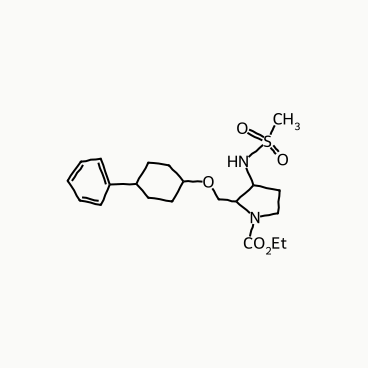 CCOC(=O)N1CCC(NS(C)(=O)=O)C1COC1CCC(c2ccccc2)CC1